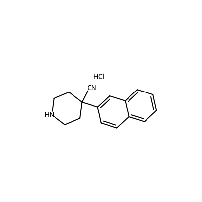 Cl.N#CC1(c2ccc3ccccc3c2)CCNCC1